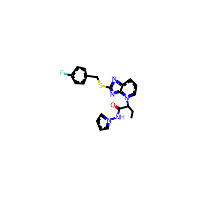 CCC(C(=O)Nn1cccc1)n1cccc2nc(SCc3ccc(F)cc3)nc1-2